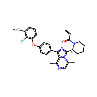 C=CC(=O)N1CCCC[C@H]1c1nc(-c2ccc(Oc3cccc(OC)c3F)cc2)c2c(C)ncc(C)n12